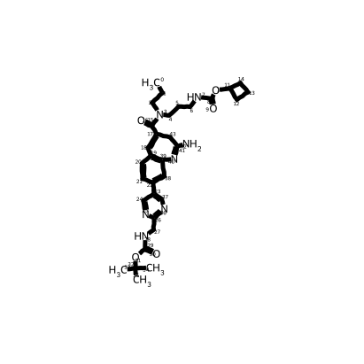 CCCN(CCCNC(=O)OC1CCC1)C(=O)C1=Cc2ccc(-c3cnc(CNC(=O)OC(C)(C)C)nc3)cc2N=C(N)C1